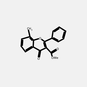 COC(=O)c1c(-c2ccccc2)oc2c(C)cccc2c1=O